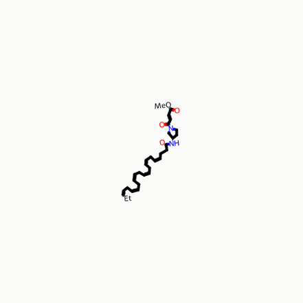 CC/C=C\C/C=C\C/C=C\C/C=C\C/C=C\C/C=C\CCC(=O)N[C@H]1CCN(C(=O)/C=C/C(=O)OC)C1